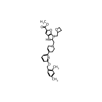 COC(=O)c1cc2c(o1)N(CC1CCO1)C(CN1CC=C(c3cccc(OCc4ccc(C)cc4C)n3)CC1)N2